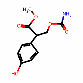 COC(=O)C(COC(N)=O)c1ccc(O)cc1